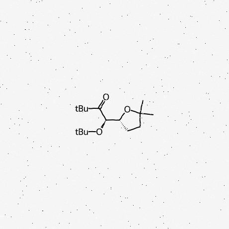 CC(C)(C)O[C@@H](C(=O)C(C)(C)C)[C@H]1CCC(C)(C)O1